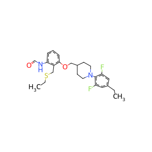 CCSCc1c(NC=O)cccc1OCC1CCN(c2c(F)cc(CC)cc2F)CC1